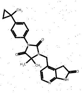 CC1(c2ccc(N3C(=O)N(Cc4ccnc5c4CC(=O)N5)C(C)(C)C3=O)cc2)CC1